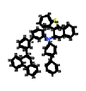 c1ccc(-c2ccc(N(c3cccc(-c4cccc(-c5cc6ccccc6c6ccccc56)c4)c3)c3cc4ccccc4c4sc5ccccc5c34)cc2)cc1